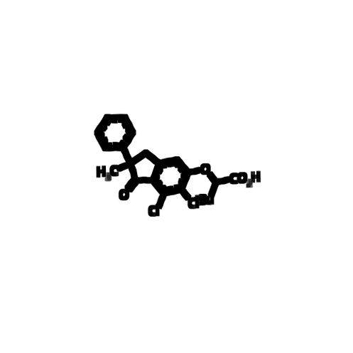 CC1(c2ccccc2)Cc2cc(OC(C(=O)O)C(C)(C)C)c(Cl)c(Cl)c2C1=O